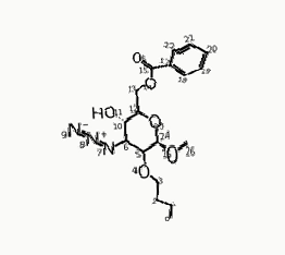 CCCCOC1C(N=[N+]=[N-])[C@H](O)C(COC(=O)c2ccccc2)O[C@H]1OC